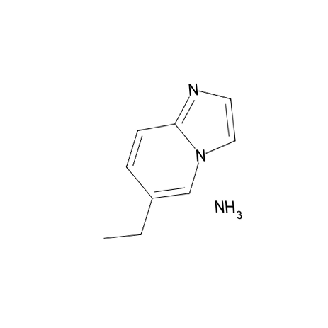 CCc1ccc2nccn2c1.N